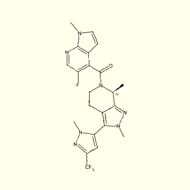 C[C@H]1c2nn(C)c(-c3cc(C(F)(F)F)nn3C)c2CCN1C(=O)c1c(F)cnc2c1ccn2C